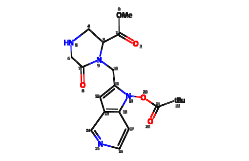 COC(=O)C1CNCC(=O)N1Cc1cc2cnccc2n1OC(=O)C(C)(C)C